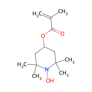 C=C(C)C(=O)OC1CC(C)(C)N(O)C(C)(C)C1